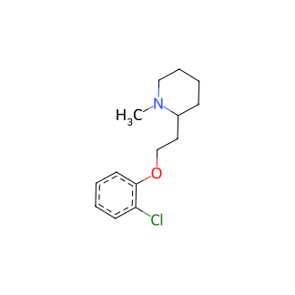 CN1CCCCC1CCOc1ccccc1Cl